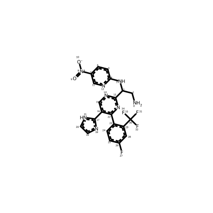 NCC(Nc1ccc([N+](=O)[O-])cn1)c1ncc(-c2ncc[nH]2)c(-c2ccc(F)cc2C(F)(F)F)n1